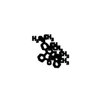 CN(C)c1ccc2c(c1)[Si](C)(C)C1=CC(=[N+](C)C)C=CC1=C2c1ccccc1C(=O)On1nnc2ccccc21